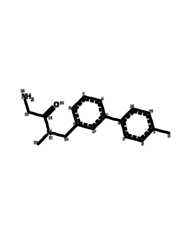 Cc1ccc(-c2cccc(CN(C)C(=O)CN)c2)cc1